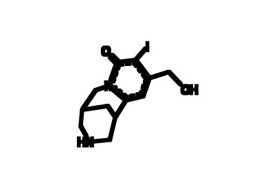 O=c1c(I)c(CO)cc2n1CC1CNCC2C1